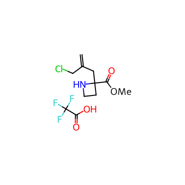 C=C(CCl)CC1(C(=O)OC)CCN1.O=C(O)C(F)(F)F